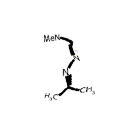 CN/C=N\N=C(C)C